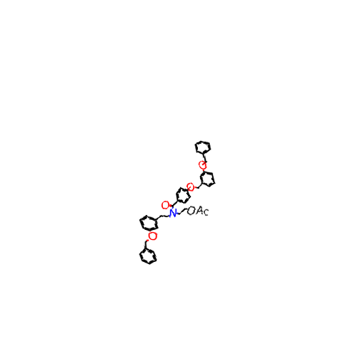 CC(=O)OCCN(CCc1cccc(OCc2ccccc2)c1)C(=O)c1ccc(OCc2cccc(OCc3ccccc3)c2)cc1